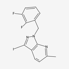 Cc1ccc2c(I)nn(Cc3cccc(F)c3F)c2n1